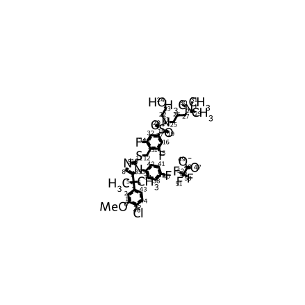 COc1cc(C(C)(C)c2cnc(SCc3c(F)cc(S(=O)(=O)N(CCO)CCC[N+](C)(C)C)cc3F)n2-c2ccc(F)cc2)ccc1Cl.O=C([O-])C(F)(F)F